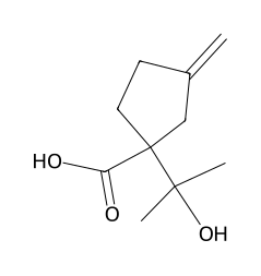 C=C1CCC(C(=O)O)(C(C)(C)O)C1